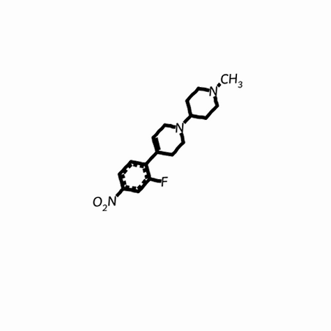 CN1CCC(N2CC=C(c3ccc([N+](=O)[O-])cc3F)CC2)CC1